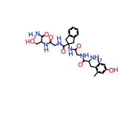 Cc1cc(O)cc(C)c1CC(N)C(=O)NCC(=O)NC1(C(=O)NCC(=O)NC(CO)C(N)=O)Cc2ccccc2C1